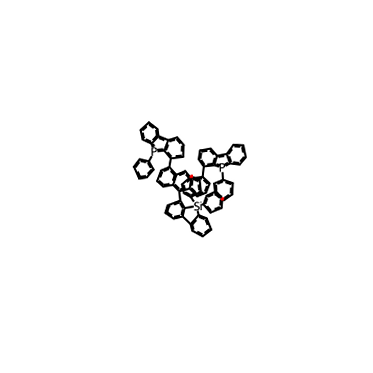 c1ccc(-p2c3ccccc3c3cccc(-c4cccc5c(-c6cccc7c6[Si](c6ccccc6)(c6ccccc6)c6ccccc6-7)c6cccc(-c7cccc8c9ccccc9p(-c9ccccc9)c78)c6cc45)c32)cc1